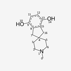 CN1CCC2(CC1)Cc1c(O)ccc(O)c1C2